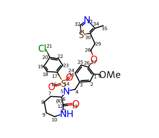 COc1cc(CN([C@@H]2CCCCNC2=O)S(=O)(=O)c2ccc(Cl)cc2)ccc1OCCc1scnc1C